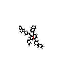 c1ccc(-c2cccc(N(c3ccc4c(c3)sc3c5ccccc5ccc43)c3cc4ccccc4cc3-c3ccc(-c4ccc5ccccc5c4)cc3)c2)cc1